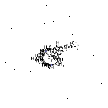 CCN(C)C1CCN(c2cc(O)c3nc4c5c6c7c(C)c(O)c5c(=O)c(c-4oc3c2)NC(=O)/C(C)=C\C=C\[C@H](C)[C@H](O)[C@@H](C)C[C@@H](C)[C@H](OC(C)=O)[C@H](C)[C@@H](OC)/C=C/O[C@@](C)(O7)C6=O)CC1